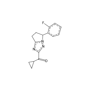 O=C(c1nc2n(n1)C(c1ccccc1F)CC2)C1CC1